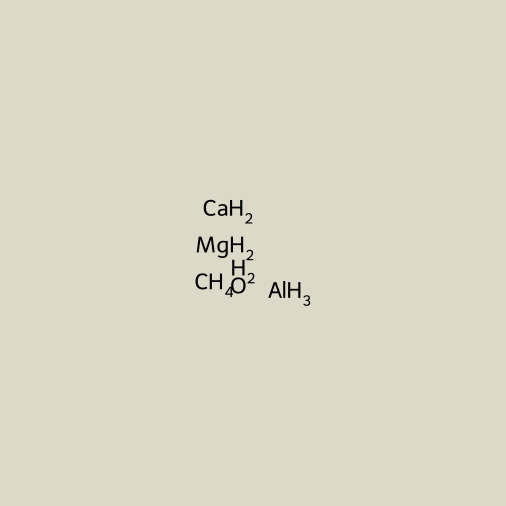 C.O.[AlH3].[CaH2].[MgH2]